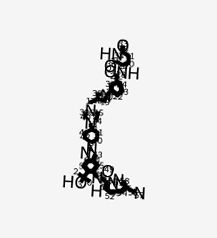 CC(C)(O)c1cc2nn(C3CCC(N4CCN(CC5CN(c6cccc(C(=O)N[C@H]7CCC(=O)NC7=O)c6)C5)CC4)CC3)cc2cc1NC(=O)c1ccc2cc(C#N)cnn12